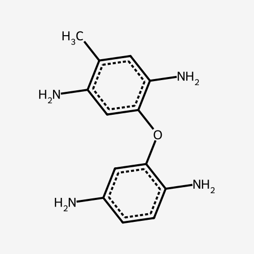 Cc1cc(N)c(Oc2cc(N)ccc2N)cc1N